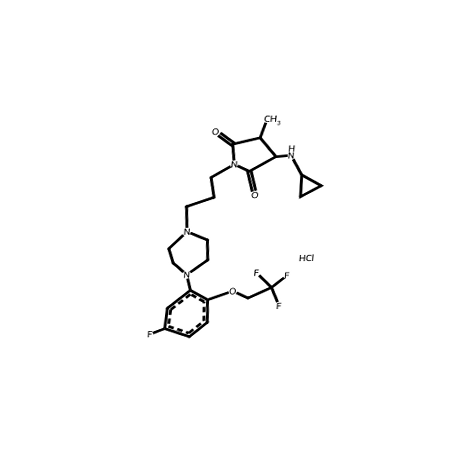 CC1C(=O)N(CCCN2CCN(c3cc(F)ccc3OCC(F)(F)F)CC2)C(=O)C1NC1CC1.Cl